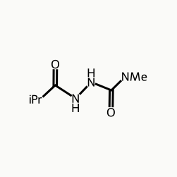 CNC(=O)NNC(=O)C(C)C